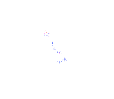 C=C/N=C(\N=C1/CCC(c2ccc(NC(=O)Nc3cc(N4CCN(CCCNc5ncc6c(n5)-c5ccccc5C(c5ccc(NC(=O)Nc7ccccc7C(=O)OC)cc5)C6)CC4)c4ccccc4c3)cc2)c2ccccc21)NCCCN1CCN(C)CC1